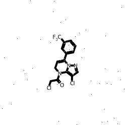 O=C(CCl)N1CC=C(c2cccc(C(F)(F)F)c2)n2ncc(Cl)c21